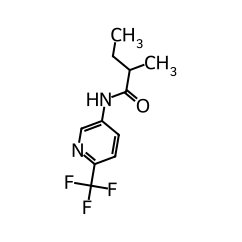 CCC(C)C(=O)Nc1ccc(C(F)(F)F)nc1